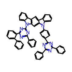 c1ccc(-c2nc(-c3ccccc3)nc(-c3ccc(-n4c5ccccc5c5cc6c7ccccc7n(-c7nc(-c8ccccc8)nc(-c8ccccc8-c8ccccc8)n7)c6cc54)cc3)n2)cc1